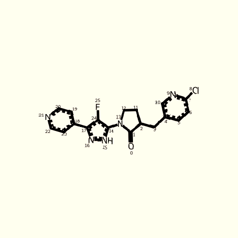 O=C1C(Cc2ccc(Cl)nc2)CCN1c1[nH]nc(-c2ccncc2)c1F